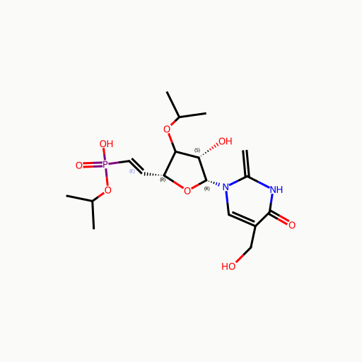 C=C1NC(=O)C(CO)=CN1[C@@H]1O[C@H](/C=C/P(=O)(O)OC(C)C)C(OC(C)C)[C@@H]1O